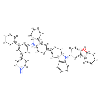 C1=CC2=C(CC1)N(C1C=c3c4c(oc3=CC1)CCC=C4)C1CCC(C3C=c4c(n(C5=CC(C6=CCCCC6)=CC(C6=CCNC=C6)C5)c5ccccc45)=CC3)=CC21